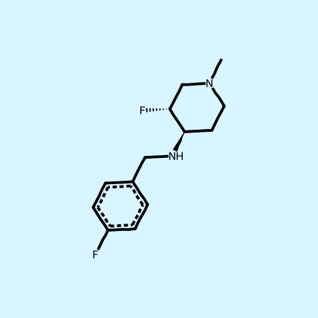 CN1CC[C@@H](NCc2ccc(F)cc2)[C@H](F)C1